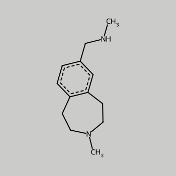 CNCc1ccc2c(c1)CCN(C)CC2